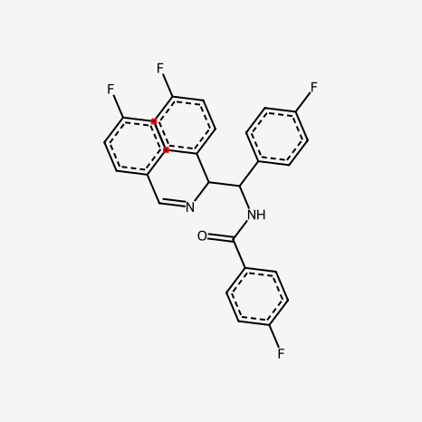 O=C(NC(c1ccc(F)cc1)C(/N=C\c1ccc(F)cc1)c1ccc(F)cc1)c1ccc(F)cc1